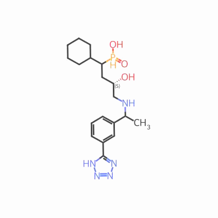 CC(NC[C@@H](O)CC(C1CCCCC1)[PH](=O)O)c1cccc(-c2nnn[nH]2)c1